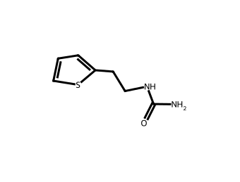 NC(=O)NCCc1cccs1